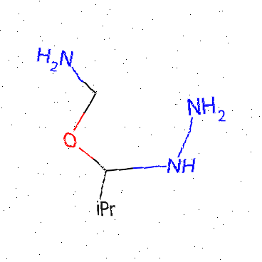 CC(C)C(NN)OCN